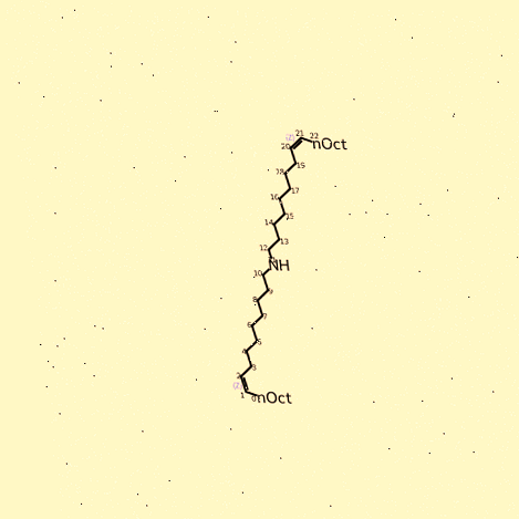 CCCCCCCC/C=C\CCCCCCCCNCCCCCCCC/C=C\CCCCCCCC